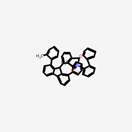 Cc1ccccc1-c1cccc2c1C(c1cccc3c1C(=O)N(c1ccccc1-c1ccccc1)C3=O)c1c(-c3ccccc3C)cccc1-2